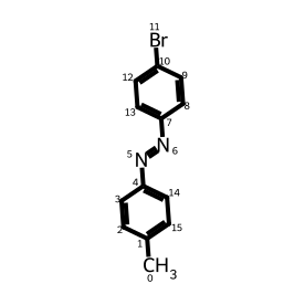 Cc1ccc(N=Nc2ccc(Br)cc2)cc1